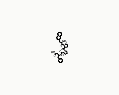 NC(Cc1ccc2ccccc2c1)C(=O)N1CCCC1C(=O)N1CCCC1C(=O)NC(CC(=O)O)Cc1ccccc1